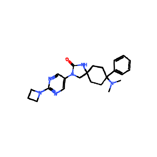 CN(C)C1(c2ccccc2)CCC2(CC1)CN(c1cnc(N3CCC3)nc1)C(=O)N2